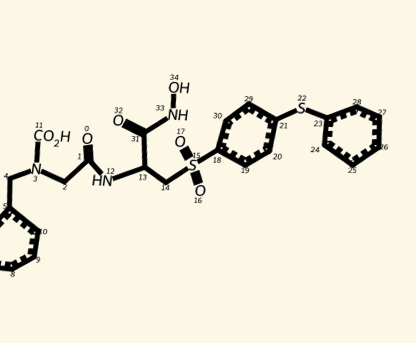 O=C(CN(Cc1ccccc1)C(=O)O)NC(CS(=O)(=O)c1ccc(Sc2ccccc2)cc1)C(=O)NO